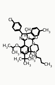 CCCCN1CCN(C(=O)N2C(c3ccc(C(C)(C)C)cc3OC(C)C)=NC(c3ccc(Cl)cc3)[C@@]2(C)c2ccc(C)cc2)CC1(C)C